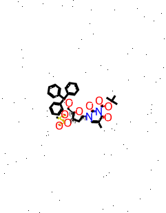 Cc1cn([C@H]2C[C@@H](OS(C)(=O)=O)[C@@H](COC(c3ccccc3)(c3ccccc3)c3ccccc3)O2)c(=O)n(C(=O)OC(C)(C)C)c1=O